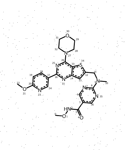 CONC(=O)c1cnc(N(C)Cc2cc3nc(-c4ccc(OC)nc4)nc(N4CCOCC4)c3s2)nc1